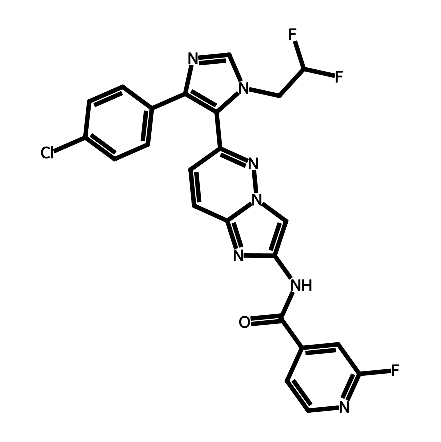 O=C(Nc1cn2nc(-c3c(-c4ccc(Cl)cc4)ncn3CC(F)F)ccc2n1)c1ccnc(F)c1